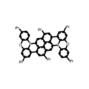 CC(C)c1ccc2c(c1)Oc1cc(C(C)C)cc3c1B2c1cc2c(C(C)C)cc4c5c(cc6c(C(C)C)cc-3c1c6c25)B1c2ccc(C(C)C)cc2Oc2cc(C(C)C)cc-4c21